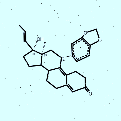 CC=C[C@]1(O)CCC2C3CCC4=CC(=O)CCC4=C3[C@@H](c3ccc4c(c3)OCO4)C[C@@]21C